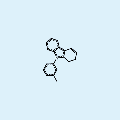 Cc1cccc(-n2c3c(c4ccccc42)C=CCC3)c1